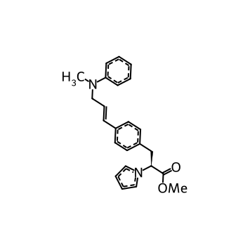 COC(=O)[C@H](Cc1ccc(/C=C/CN(C)c2ccccc2)cc1)n1cccc1